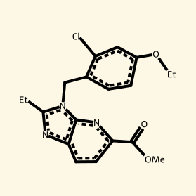 CCOc1ccc(Cn2c(CC)nc3ccc(C(=O)OC)nc32)c(Cl)c1